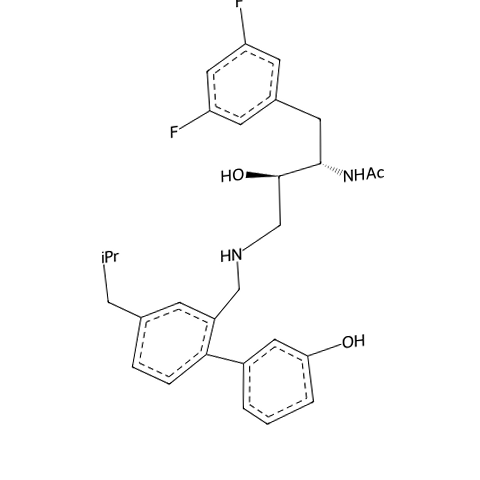 CC(=O)N[C@@H](Cc1cc(F)cc(F)c1)[C@H](O)CNCc1cc(CC(C)C)ccc1-c1cccc(O)c1